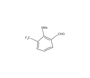 CSc1c(C=O)cccc1C(F)(F)F